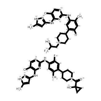 Cc1cc(Nc2nc(Nc3cc(C)c(C4CCN(C(=O)C5(O)CC5)CC4)cc3F)ncc2Cl)n[nH]1.Cc1cc(Nc2nc(Nc3cc(C4CCN(CC(O)C(F)(F)F)CC4)c(F)cc3C)ncc2Cl)n[nH]1